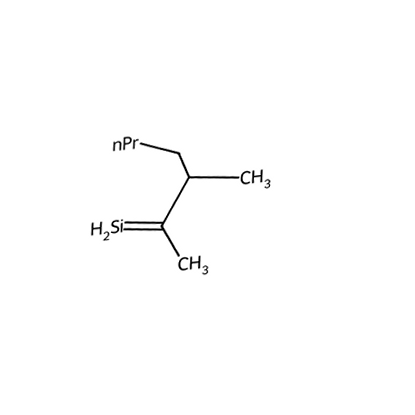 CCCCC(C)C(C)=[SiH2]